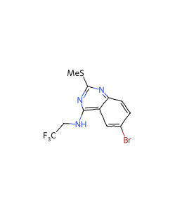 CSc1nc(NCC(F)(F)F)c2cc(Br)ccc2n1